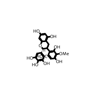 COc1c(O)cc(C(=O)O)c(C2Cc3c(O)cc(O)cc3O[C@H]2c2cc(O)c(O)c(O)c2)c1O